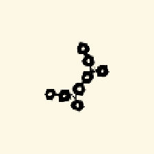 C1=CC(c2ccc(N(c3ccccc3)c3ccc(-c4ccc(N(c5ccccc5)c5ccc(-c6ccccc6)cc5)cc4)cc3)cc2)=CCC1